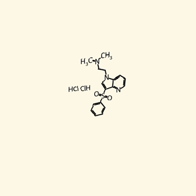 CN(C)CCn1cc(S(=O)(=O)c2ccccc2)c2ncccc21.Cl.Cl